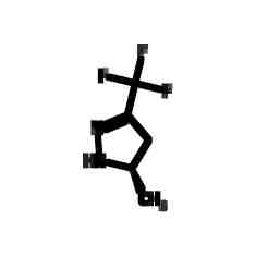 C[C@@H]1CC(C(F)(F)F)=NN1